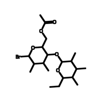 CCC1OC(OC2C(COC(C)=O)OC(Br)C(C)C2C)C(C)C(C)C1C